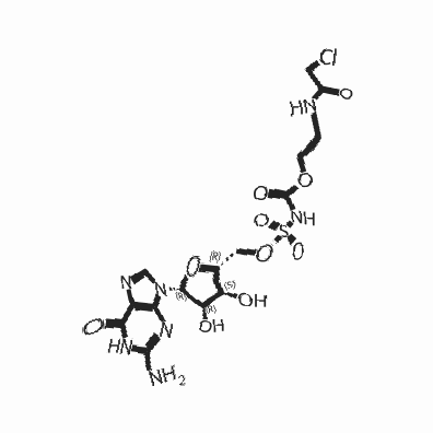 Nc1nc2c(ncn2[C@@H]2O[C@H](COS(=O)(=O)NC(=O)OCCNC(=O)CCl)[C@@H](O)[C@H]2O)c(=O)[nH]1